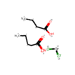 CCCC(=O)O.CCCC(=O)O.Cl[Te]Cl